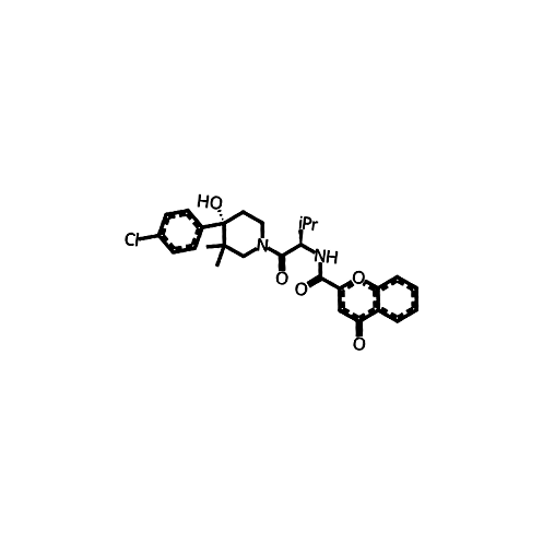 CC(C)[C@@H](NC(=O)c1cc(=O)c2ccccc2o1)C(=O)N1CC[C@](O)(c2ccc(Cl)cc2)C(C)(C)C1